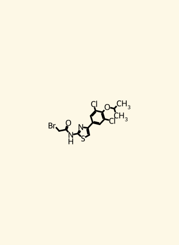 CC(C)Oc1c(Cl)cc(-c2csc(NC(=O)CBr)n2)cc1Cl